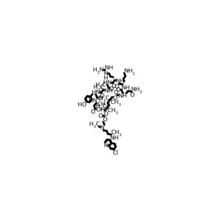 CCN(CCCC(C)Nc1ccnc2cc(Cl)ccc12)CCOC(=O)OCC(C)(C)/C=C/C(C)(C)COC(=O)N[C@@H](CCC(N)=O)C(=O)N[C@@H](CCCCN)C(=O)N[C@@H](CCCNC(=N)N)C(=O)N[C@@H](C)C(=O)N[C@@H](C)C(=O)N[C@@H](Cc1ccc(O)cc1)C(=O)N[C@H](C)CC(=O)O